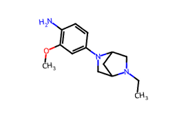 CCN1CC2CC1CN2c1ccc(N)c(OC)c1